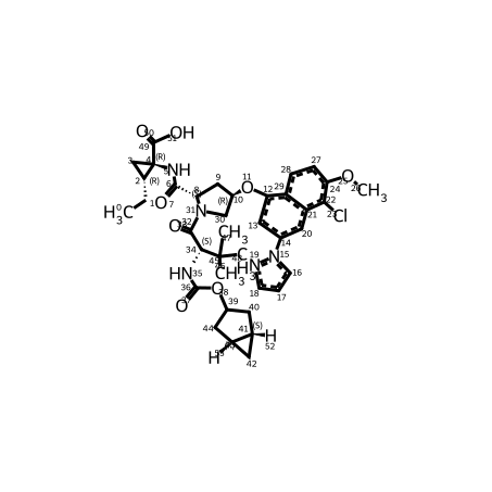 CC[C@@H]1C[C@]1(NC(=O)[C@@H]1C[C@@H](Oc2cc(-n3cccn3)cc3c(Cl)c(OC)ccc23)CN1C(=O)[C@@H](NC(=O)OC1C[C@@H]2C[C@@H]2C1)C(C)(C)C)C(=O)O